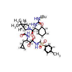 Cc1ccc(S(=O)(=O)CNC(=O)C(=O)C(CC2CC2)NC(=O)[C@@H]2[C@@H]3[C@H](CN2C(=O)[C@@H](NC(=O)NC(C)(C)C)C2CCCCC2)C3(C)C)cc1